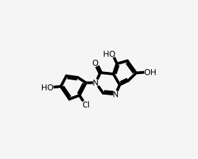 O=c1c2c(O)cc(O)cc2ncn1-c1ccc(O)cc1Cl